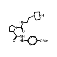 COc1ccc(NNC(=O)C2CCCN2C(=O)NCCN2CCNCC2)cc1